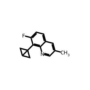 Cc1cnc2c(C34CC3C4)c(F)ccc2c1